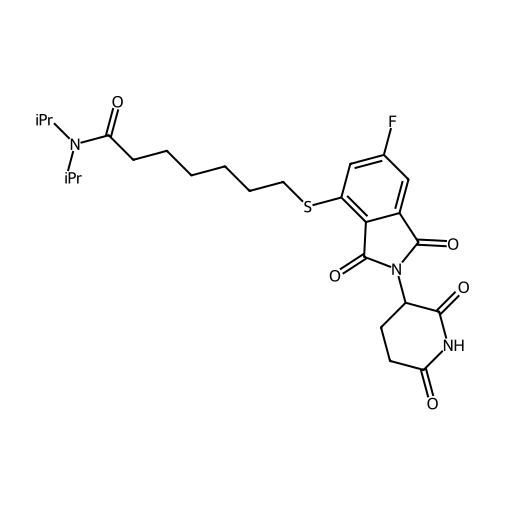 CC(C)N(C(=O)CCCCCCSc1cc(F)cc2c1C(=O)N(C1CCC(=O)NC1=O)C2=O)C(C)C